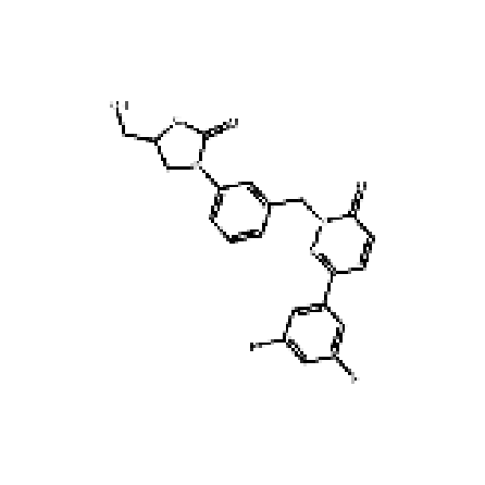 O=C1OC(CO)CN1c1cccc(Cn2nc(-c3cc(F)cc(F)c3)ccc2=O)c1